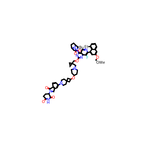 CCc1cccc2cc(OCOC)cc(-c3ncc4c(N5CC6CCC(C5)N6C(=O)OC(C)(C)C)nc(OCC5(CN6CCC(OC7CC8(CCN(c9ccc%10c(c9)CN(C9CCC(=O)NC9=O)C%10=O)CC8)C7)CC6)CC5)nc4c3F)c12